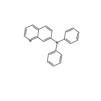 c1ccc(N(c2ccccc2)c2ccc3cccnc3c2)cc1